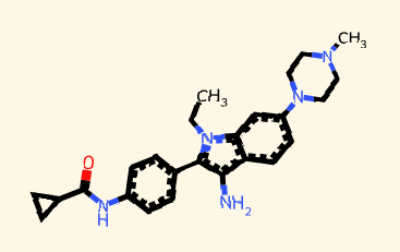 CCn1c(-c2ccc(NC(=O)C3CC3)cc2)c(N)c2ccc(N3CCN(C)CC3)cc21